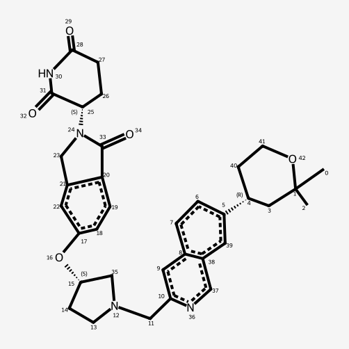 CC1(C)C[C@H](c2ccc3cc(CN4CC[C@H](Oc5ccc6c(c5)CN([C@H]5CCC(=O)NC5=O)C6=O)C4)ncc3c2)CCO1